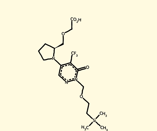 C[Si](C)(C)CCOCn1ncc(N2CCC[C@H]2COCC(=O)O)c(C(F)(F)F)c1=O